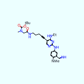 CCNc1nc(Nc2ccc(NC)c(C=N)c2)ncc1C#CCCCNC(=O)CN(C)C(=O)OC(C)(C)C